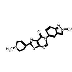 CN1CC=C(c2nc3c(=O)n(-c4ccc5nn(C)cc5c4)cnc3s2)CC1